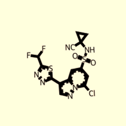 N#CC1(NS(=O)(=O)c2cc(Cl)n3ncc(-c4nnc(C(F)F)s4)c3c2)CC1